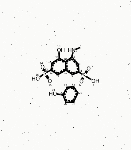 CNc1cc(S(=O)(=O)O)cc2cc(S(=O)(=O)O)cc(O)c12.Oc1ccccc1